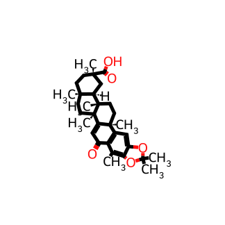 Cc1c2c(cc3c1C(=O)C=C1[C@@]3(C)CC[C@@]3(C)[C@@H]4C[C@](C)(C(=O)O)CC[C@]4(C)CC[C@]13C)OC(C)(C)O2